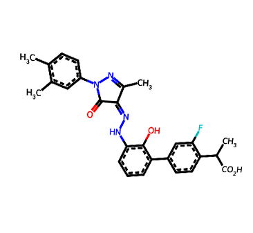 CC1=NN(c2ccc(C)c(C)c2)C(=O)/C1=N\Nc1cccc(-c2ccc(C(C)C(=O)O)c(F)c2)c1O